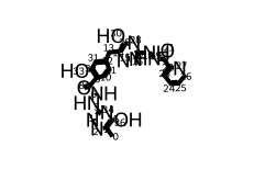 Cc1nnc(NNC(=O)c2ccc(Cc3nnc(NNC(=O)c4ccccn4)nc3O)cc2O)nc1O